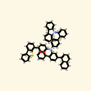 c1ccc(-c2ccc(-c3cccc4ccccc34)cc2N(c2ccc(-c3ccccc3-n3c4ccccc4c4ccccc43)cc2)c2ccc(-c3cccc4c3sc3ccccc34)cc2)cc1